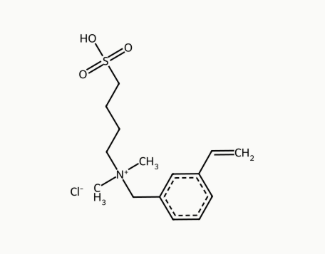 C=Cc1cccc(C[N+](C)(C)CCCCS(=O)(=O)O)c1.[Cl-]